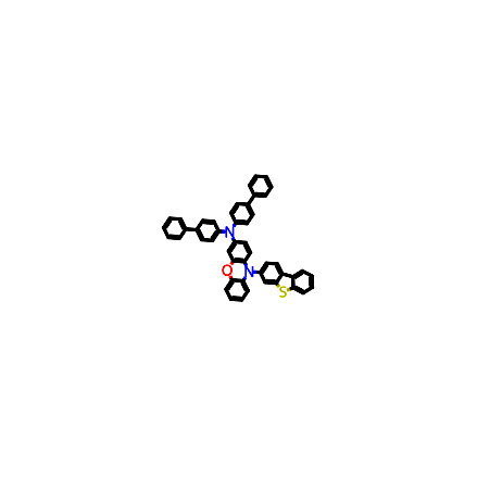 c1ccc(-c2ccc(N(c3ccc(-c4ccccc4)cc3)c3ccc4c(c3)Oc3ccccc3N4c3ccc4c(c3)sc3ccccc34)cc2)cc1